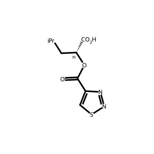 CC(C)C[C@@H](OC(=O)c1csnn1)C(=O)O